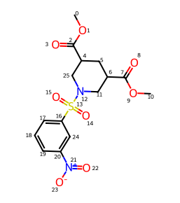 COC(=O)C1CC(C(=O)OC)CN(S(=O)(=O)c2cccc([N+](=O)[O-])c2)C1